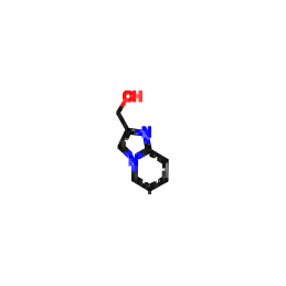 OCc1cn2c[c]ccc2n1